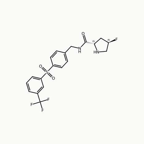 O=C(NCc1ccc(S(=O)(=O)c2cccc(C(F)(F)F)c2)cc1)[C@@H]1C[C@@H](F)CN1